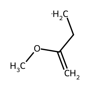 [CH2]CC(=C)OC